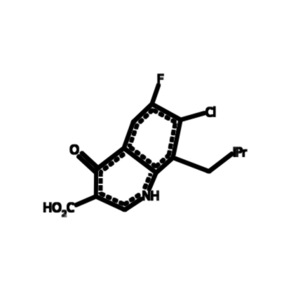 CC(C)Cc1c(Cl)c(F)cc2c(=O)c(C(=O)O)c[nH]c12